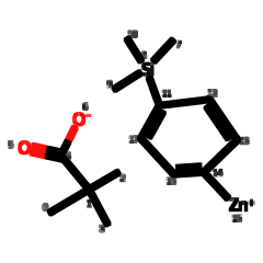 CC(C)(C)C(=O)[O-].C[Si](C)(C)c1cc[c]([Zn+])cc1